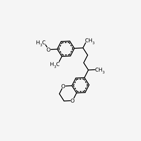 COc1ccc(C(C)CCC(C)c2ccc3c(c2)OCCO3)cc1C